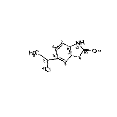 CC(Cl)c1ccc2c(c1)CC(=O)N2